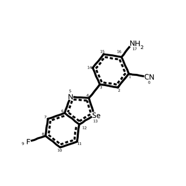 N#Cc1cc(-c2nc3cc(F)ccc3[se]2)ccc1N